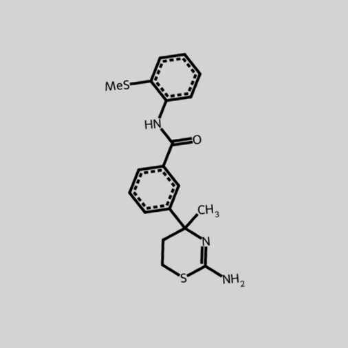 CSc1ccccc1NC(=O)c1cccc(C2(C)CCSC(N)=N2)c1